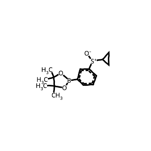 CC1(C)OB(c2cccc([S+]([O-])C3CC3)c2)OC1(C)C